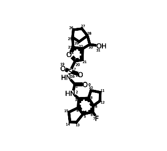 O=C(Nc1c2c(c(F)c3c1CCC3)CCC2)NS(=O)(=O)c1cc2c(o1)C1CCC(C1)C2O